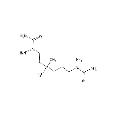 CC(C)(CCCN(N)C(N)=O)CCN(N)C(N)=O